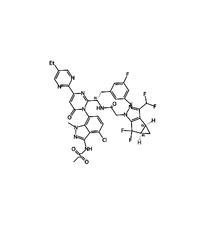 CCc1cnc(-c2cc(=O)n(-c3ccc(Cl)c4c(NS(C)(=O)=O)nn(C)c34)c([C@H](Cc3cc(F)cc(F)c3)NC(=O)Cn3nc(C(F)F)c4c3C(F)(F)[C@@H]3C[C@H]43)n2)nc1